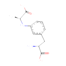 C[C@H](Nc1cccc(C[C@H](N)C(=O)O)c1)C(=O)O